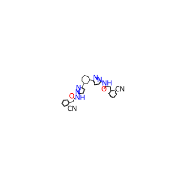 N#Cc1ccccc1CC(=O)Nc1ccc(C2CCCCC(c3ccc(NC(=O)Cc4ccccc4C#N)nn3)C2)nn1